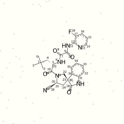 CC(C)(C)C[C@H](NC(=O)C(=O)Nc1ncccc1F)C(=O)N1C[C@]2(C[C@H]1C#N)C(=O)Nc1ccccc12